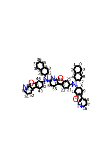 c1ccc2cc(N(c3ccc4c(c3)oc3ncccc34)c3ccc4c(c3)oc3nc(N(c5ccc6ccccc6c5)c5ccc6c(c5)oc5ncccc56)ccc34)ccc2c1